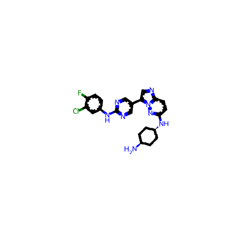 N[C@H]1CC[C@H](Nc2ccc3ncc(-c4cnc(Nc5ccc(F)c(Cl)c5)nc4)n3n2)CC1